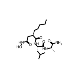 CCCCC[C@H](CC(=O)NO)C(=O)N[C@@H](CC(C)C)C(=O)N[C@@H](C)C(N)=O